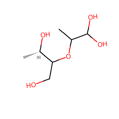 CC(OC(CO)[C@H](C)O)C(O)O